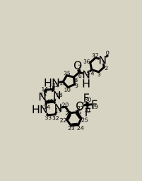 CN1CCC(NC(=O)C2CCC(Nc3cnc4c(n3)N(Cc3ccccc3OC(F)(F)F)CCN4)C2)CC1